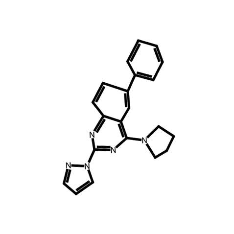 c1ccc(-c2ccc3nc(-n4cccn4)nc(N4CCCC4)c3c2)cc1